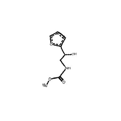 CC(C)(C)OC(=O)NCC(O)c1ccco1